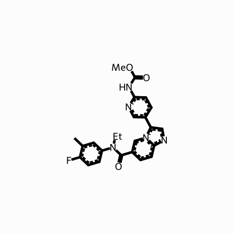 CCN(C(=O)c1ccc2ncc(-c3ccc(NC(=O)OC)nc3)n2c1)c1ccc(F)c(C)c1